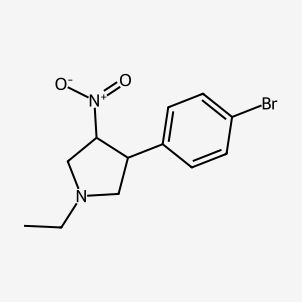 CCN1CC(c2ccc(Br)cc2)C([N+](=O)[O-])C1